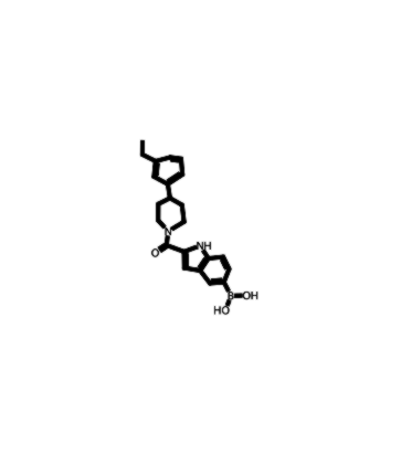 CCc1cccc(C2CCN(C(=O)c3cc4cc(B(O)O)ccc4[nH]3)CC2)c1